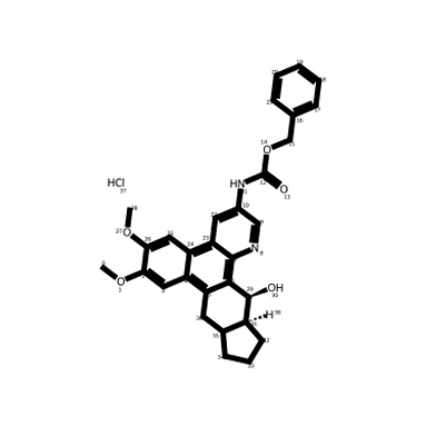 COc1cc2c3c(c4ncc(NC(=O)OCc5ccccc5)cc4c2cc1OC)[C@@H](O)[C@H]1CCCC1C3.Cl